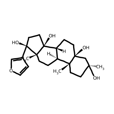 C[C@]1(O)CC[C@]2(C)[C@H]3CC[C@]4(C)[C@](O)(c5ccoc5)CC[C@]4(O)[C@@H]3CC[C@]2(O)C1